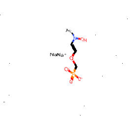 CC(=O)N(O)C=COCP(=O)([O-])[O-].[Na+].[Na+]